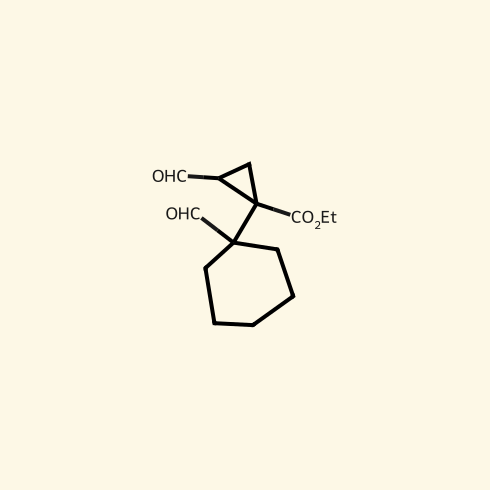 CCOC(=O)C1(C2(C=O)CCCCC2)CC1C=O